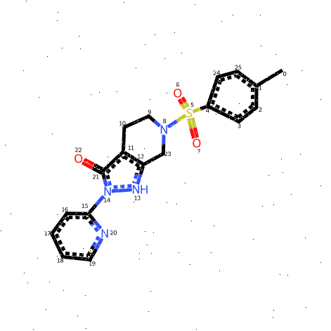 Cc1ccc(S(=O)(=O)N2CCc3c([nH]n(-c4ccccn4)c3=O)C2)cc1